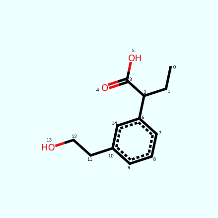 CCC(C(=O)O)c1cccc(CCO)c1